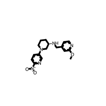 COc1cc(CN[C@H]2CCCN(c3ccc([N+](=O)[O-])nc3)C2)ccn1